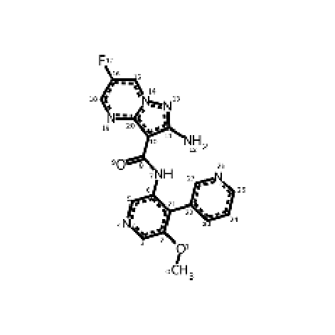 COc1cncc(NC(=O)c2c(N)nn3cc(F)cnc23)c1-c1cccnc1